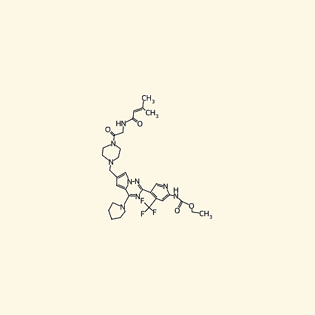 CCOC(=O)Nc1cc(C(F)(F)F)c(-c2nc(N3CCCCC3)c3cc(CN4CCN(C(=O)CNC(=O)C=C(C)C)CC4)cn3n2)cn1